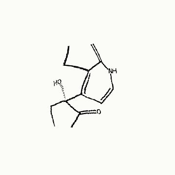 C=C1NC=CC([C@](O)(CC)C(C)=O)=C1CC